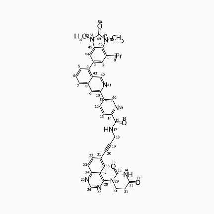 CC(C)c1cc(-c2cccc3cc(-c4ccc(C(=O)NCC#Cc5ccc6ncnc(N7CCC(=O)NC7=O)c6c5)nc4)ncc23)cc2c1n(C)c(=O)n2C